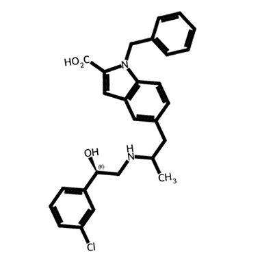 CC(Cc1ccc2c(c1)cc(C(=O)O)n2Cc1ccccc1)NC[C@H](O)c1cccc(Cl)c1